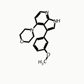 COc1cccc(-c2c[nH]c3nccc(N4CCOCC4)c23)c1